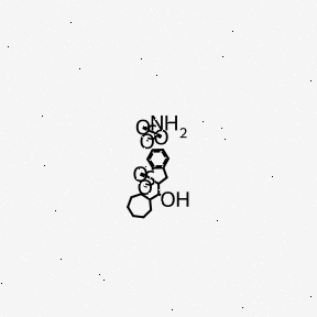 NS(=O)(=O)Oc1ccc2c(c1)S(=O)(=O)C(C(O)C1CCCCCC1)C2